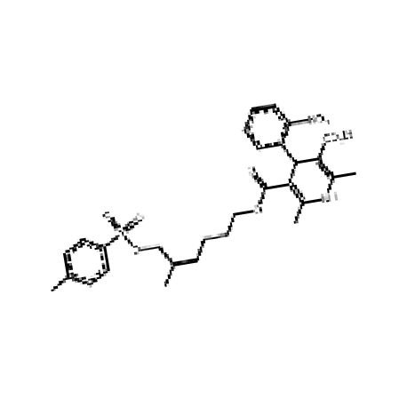 CCOC(=O)C1=C(C)NC(C)=C(C(=O)OCCCCC(C)COS(=O)(=O)c2ccc(C)cc2)C1c1ccccc1[N+](=O)[O-]